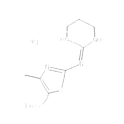 CCOC(=O)c1sc(N=C2NCCCN2)nc1C.Cl